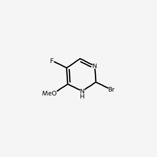 COC1=C(F)C=NC(Br)N1